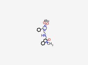 Cn1c(=O)c(CNCCN2CCN(C(=O)OC(C)(C)C)CC2c2ccccc2)cc2ccccc21